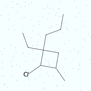 CCCC1(CC)CC(C)C1Cl